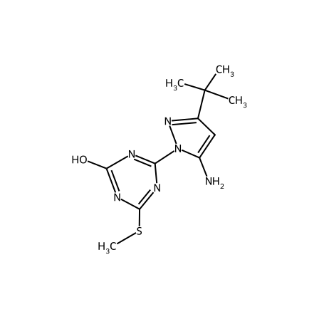 CSc1nc(O)nc(-n2nc(C(C)(C)C)cc2N)n1